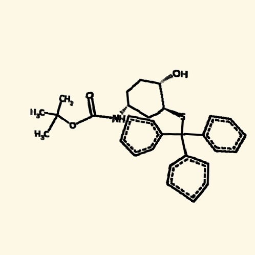 CC(C)(C)OC(=O)N[C@@H]1CC[C@H](O)[C@@H](SC(c2ccccc2)(c2ccccc2)c2ccccc2)C1